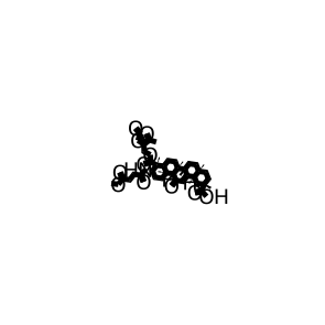 COC(=O)CCC(=O)N[C@H]1CC[C@@]2(C)C(CC[C@]3(C)[C@@H]2C(=O)C=C2[C@@H]4C[C@@](C)(C(=O)O)CC[C@]4(C)CC[C@]23C)[C@]1(C)C(=O)OCc1oc(=O)oc1C